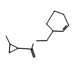 CCC1CC1C(=O)OCC1C=CCCC1